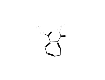 CC(C)OC(=O)C1=CC=CCC=C1C(=O)OC(C)C